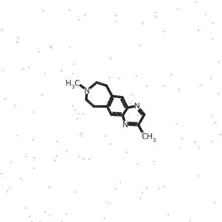 Cc1cnc2cc3c(cc2n1)CCN(C)CC3